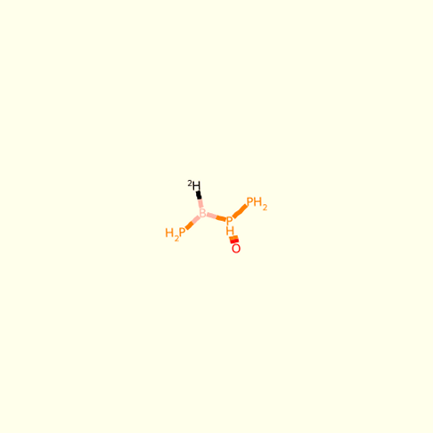 [2H]B(P)[PH](=O)P